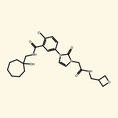 O=C(Cn1ccn(-c2ccc(Cl)c(C(=O)NCC3(O)CCCCCC3)c2)c1=O)NCC1COC1